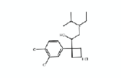 CCN(CC(O)C1(c2ccc(Cl)c(Cl)c2)CCC1)C(C)C.Cl